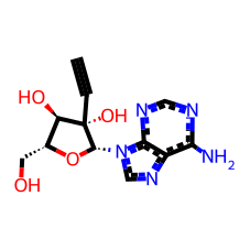 C#C[C@]1(O)[C@H](O)[C@@H](CO)O[C@H]1n1cnc2c(N)ncnc21